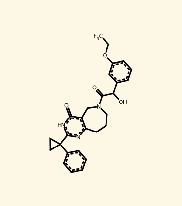 O=C(C(O)c1cccc(OCC(F)(F)F)c1)N1CCCc2nc(C3(c4ccccc4)CC3)[nH]c(=O)c2C1